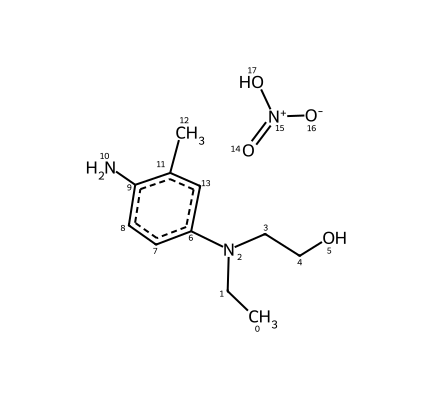 CCN(CCO)c1ccc(N)c(C)c1.O=[N+]([O-])O